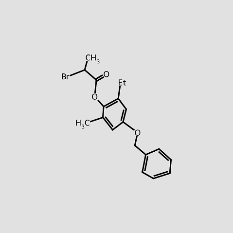 CCc1cc(OCc2ccccc2)cc(C)c1OC(=O)C(C)Br